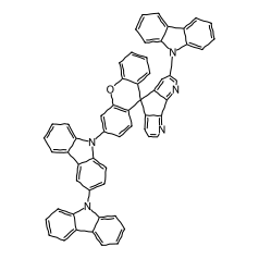 c1ccc2c(c1)Oc1cc(-n3c4ccccc4c4cc(-n5c6ccccc6c6ccccc65)ccc43)ccc1C21c2cccnc2-c2ncc(-n3c4ccccc4c4ccccc43)cc21